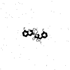 Cc1nc2c(F)cccc2cc1NC(=O)[C@@](C)(Cc1cccc(F)c1)CC(F)(F)F